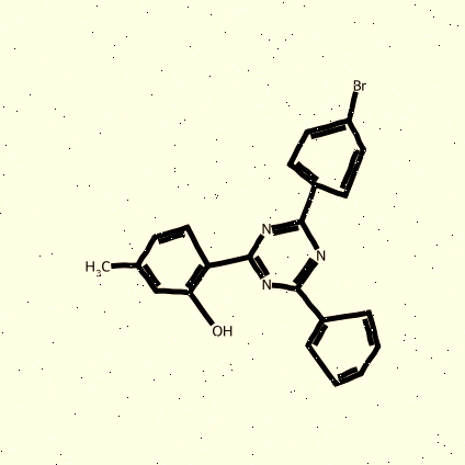 Cc1ccc(-c2nc(-c3ccccc3)nc(-c3ccc(Br)cc3)n2)c(O)c1